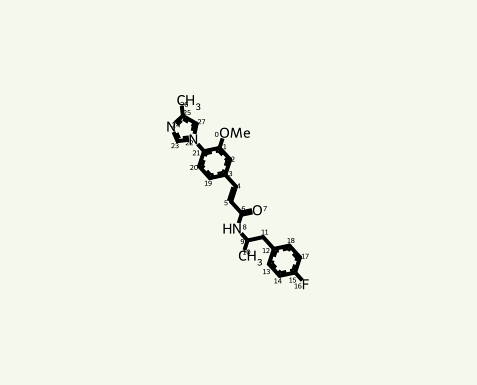 COc1cc(C=CC(=O)NC(C)Cc2ccc(F)cc2)ccc1-n1cnc(C)c1